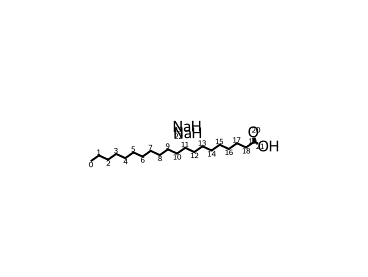 CCCCCCCCCCCCCCCCCCCC(=O)O.[NaH].[NaH]